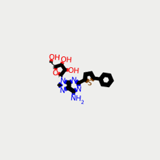 Nc1nc(-c2ccc(-c3ccccc3)s2)nc2c1ncn2[C@@H]1O[C@H](CO)C(O)C1O